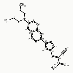 CCCN(CCC)c1ccc2cc(-c3ccc(/C=C(\C#N)C(N)=O)s3)ccc2c1